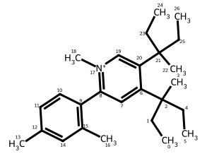 CCC(C)(CC)c1cc(-c2ccc(C)cc2C)[n+](C)cc1C(C)(CC)CC